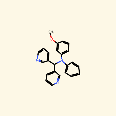 COc1cccc(N(c2ccccc2)C(c2cccnc2)c2cccnc2)c1